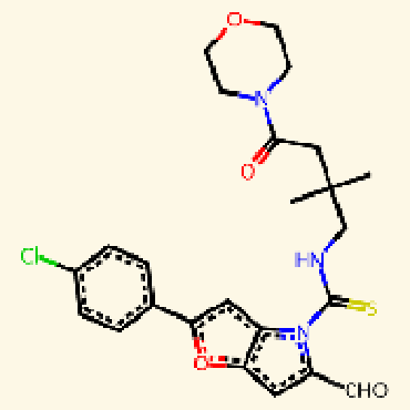 CC(C)(CNC(=S)n1c(C=O)cc2oc(-c3ccc(Cl)cc3)cc21)CC(=O)N1CCOCC1